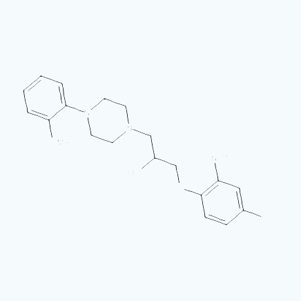 COc1ccccc1N1CCN(CC(O)COc2ccc(C)cc2NC(C)=O)CC1